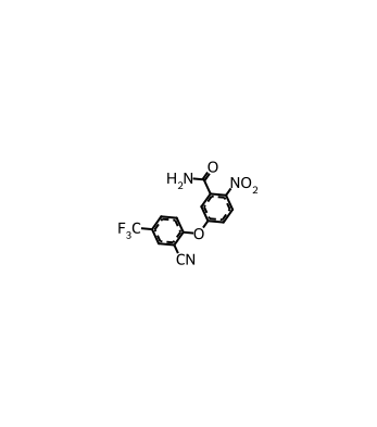 N#Cc1cc(C(F)(F)F)ccc1Oc1ccc([N+](=O)[O-])c(C(N)=O)c1